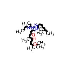 C=C/C=C\N=C(/C=C)N1/C(=C/C(O)=C/C(C)/C=C\C=C/C(=C)OC(=C)C)Cn2c1nc(/C=C\CCC(=C)CC)c2C